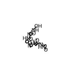 COc1cc(C(=O)Nc2cccc(-c3nccc(-c4ccc(CNC[C@@H]5CCC(=O)N5)c(OC)n4)c3Cl)c2C)ncc1CNCCO